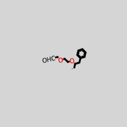 [CH2]C(Cc1ccccc1)OCCOCC=O